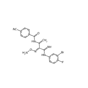 C=C(NC(=O)c1ccc(C#N)cc1)/C(=N\ON)C(=N)Nc1ccc(F)c(Br)c1